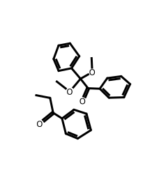 CCC(=O)c1ccccc1.COC(OC)(C(=O)c1ccccc1)c1ccccc1